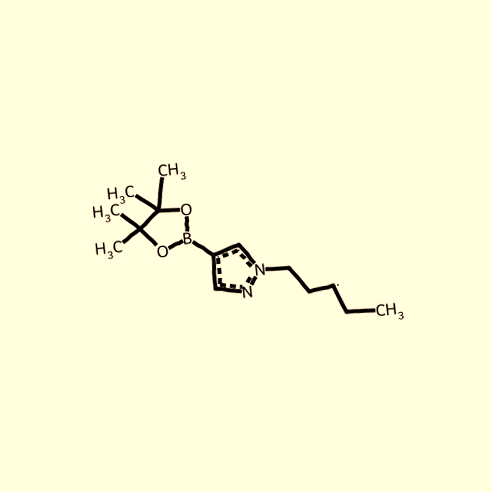 CC[CH]CCn1cc(B2OC(C)(C)C(C)(C)O2)cn1